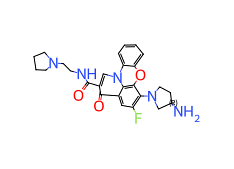 N[C@@H]1CCN(c2c(F)cc3c(=O)c(C(=O)NCCN4CCCC4)cn4c3c2Oc2ccccc2-4)C1